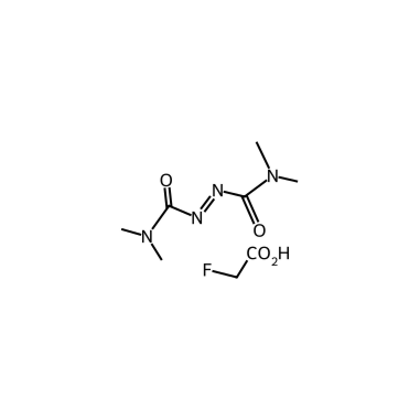 CN(C)C(=O)N=NC(=O)N(C)C.O=C(O)CF